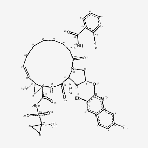 CCc1nc2ccc(F)cc2nc1O[C@@H]1C[C@H]2C(=O)N[C@]3(C(=O)NS(=O)(=O)C4(C)CC4)C[C@H]3C=CCCCCC[C@H](NC(=O)c3ccccc3F)C(=O)N2C1